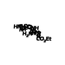 CCOC(=O)N1CC2CCN(c3cc(Nc4ccc(Oc5ccnc6[nH]ccc56)c(F)c4)nc(N)n3)C2C1